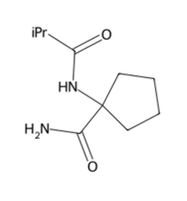 CC(C)C(=O)NC1(C(N)=O)CCCC1